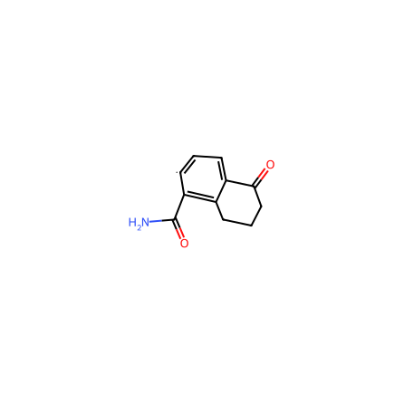 NC(=O)c1[c]ccc2c1CCCC2=O